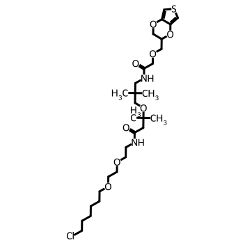 CC(C)(CNC(=O)COCC1COc2cscc2O1)COC(C)(C)CC(=O)NCCOCCOCCCCCCCl